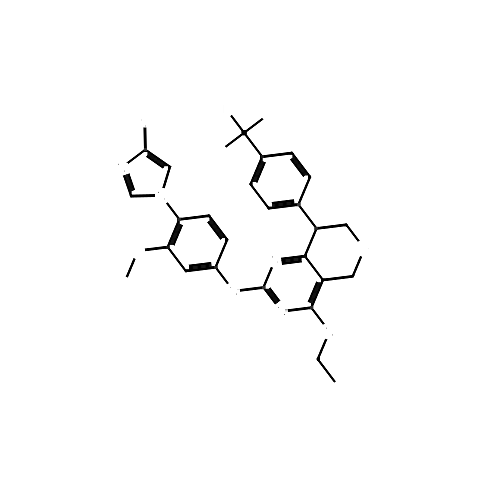 CCNc1nc(Nc2ccc(-n3cnc(Cl)c3)c(OC)c2)nc2c1COCC2c1ccc(C(F)(F)F)cc1